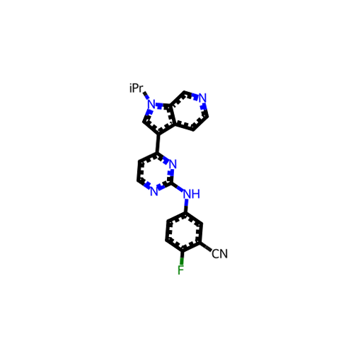 CC(C)n1cc(-c2ccnc(Nc3ccc(F)c(C#N)c3)n2)c2ccncc21